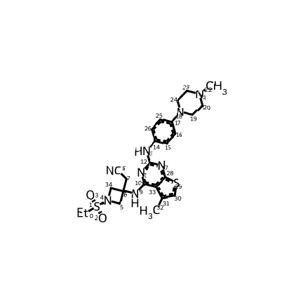 CCS(=O)(=O)N1CC(CC#N)(Nc2nc(Nc3ccc(N4CCN(C)CC4)cc3)nc3scc(C)c23)C1